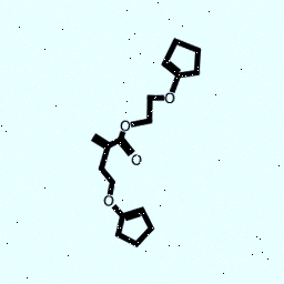 C=C(CCOC1=CCCC1)C(=O)OCCOC1=CCCC1